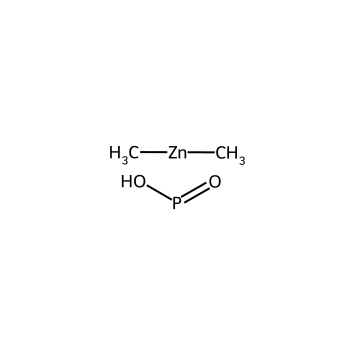 O=PO.[CH3][Zn][CH3]